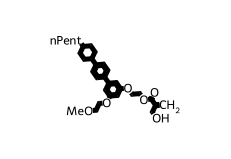 C=C(CO)C(=O)OCCOc1cc(OCCOC)cc(-c2ccc(C3CCC(CCCCC)CC3)cc2)c1